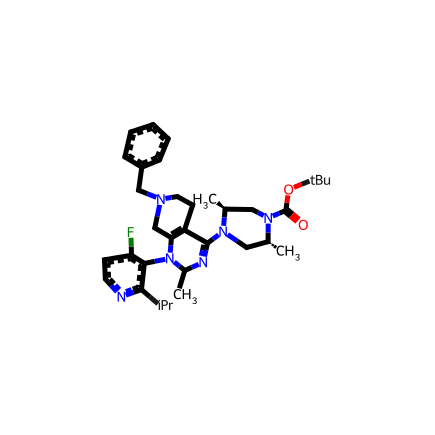 CC(C)c1nccc(F)c1N1C2=C(CCN(Cc3ccccc3)C2)C(N2C[C@@H](C)N(C(=O)OC(C)(C)C)C[C@@H]2C)=NC1C